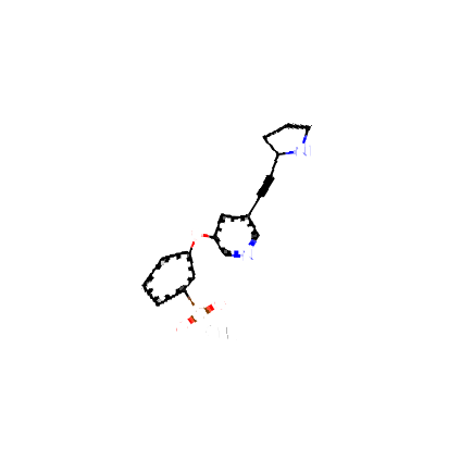 CS(=O)(=O)c1cccc(Oc2cncc(C#CC3CCCN3)c2)c1